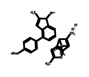 CC1=C2c3oc(C)cc3C1[Si]2(C)C.CCCCCc1ccc(-c2cccc3c2C=C(C)[CH]3[Zr+2])cc1.[Cl-].[Cl-]